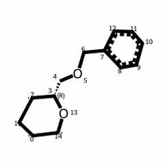 [CH]1[CH][CH][C@H](COCc2ccccc2)O[CH]1